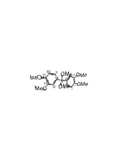 COc1ccc(C(OC)(OC)c2ccc(OC)c(OC)c2)cc1OC